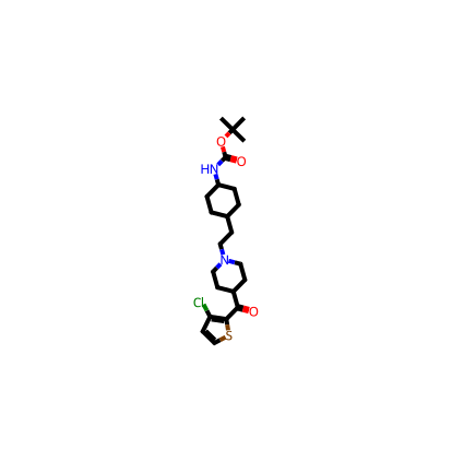 CC(C)(C)OC(=O)NC1CCC(CCN2CCC(C(=O)c3sccc3Cl)CC2)CC1